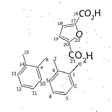 Cc1ccccc1C.Cc1ccccc1C.O=C(O)c1ccc(C(=O)O)o1